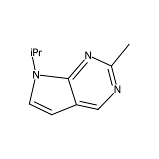 Cc1ncc2ccn(C(C)C)c2n1